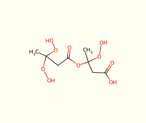 CC(CC(=O)OC(C)(CC(=O)O)OO)(OO)OO